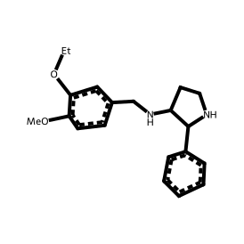 CCOc1cc(CNC2CCNC2c2ccccc2)ccc1OC